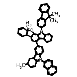 CC1C=Cc2c(c3cc(-c4cc5c(c6c4c4ccccc4n6-c4ccc6c(c4)C(C)(C)c4ccccc4-6)OC4(C)C=CC=CC54)ccc3n2-c2ccc3ccccc3c2)C1